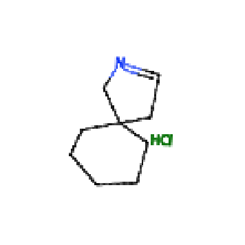 C1=NCC2(C1)CCCCC2.Cl